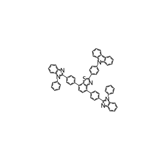 c1ccc(-n2c(-c3ccc(-c4ccc(-c5ccc(-c6nc7ccccc7n6-c6ccccc6)cc5)c5sc(-c6ccc(-n7c8ccccc8c8ccccc87)cc6)nc45)cc3)nc3ccccc32)cc1